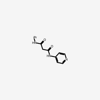 CC(C)NC(=O)CC(=O)Nc1ccncc1